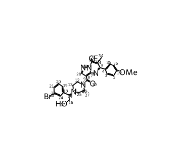 COc1ccc(-c2nc3c(C(=O)N4CCN([C@@H](CO)c5cccc(Br)c5)C[C@H]4C)cnn3c(C(F)(F)F)c2C)cc1